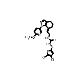 COc1ccc(-n2ncc3c2/C(=C/CNC(=O)NSc2cc(Cl)c(Cl)s2)CCC3)cn1